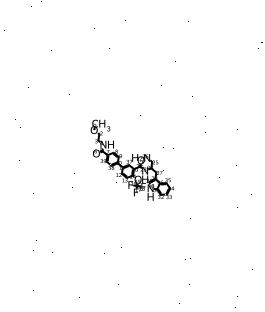 COCCNC(=O)c1ccc(-c2ccc(OC(F)(F)F)c(C(=O)NC(CN)Cc3c[nH]c4ccccc34)c2)cc1